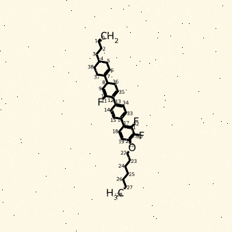 C=CCCC1CC=C(C2C=C(F)C(c3ccc(-c4ccc(OCCCCCCC)c(F)c4F)cc3)=CC2)CC1